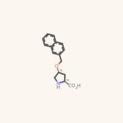 O=C(O)[C@@H]1C[C@H](OCc2ccc3ccccc3c2)CN1